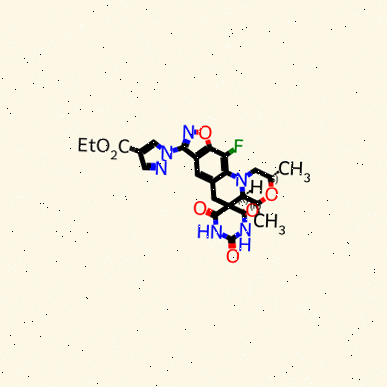 CCOC(=O)c1cnn(-c2noc3c(F)c4c(cc23)CC2(C(=O)NC(=O)NC2=O)[C@@H]2[C@@H](C)O[C@@H](C)CN42)c1